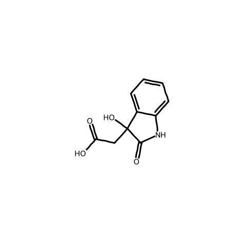 O=C(O)CC1(O)C(=O)Nc2ccccc21